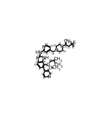 COc1cnccc1-c1ccc2nc(Nc3cc(CN4CCN(C(=O)CC(F)(F)F)CC4)ccn3)[nH]c2c1OCC(C)C